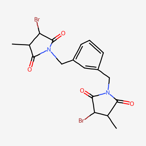 CC1C(=O)N(Cc2cccc(CN3C(=O)C(C)C(Br)C3=O)c2)C(=O)C1Br